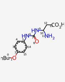 CCCCOc1ccc(NC(=O)NC(N)CC(=O)O)cc1